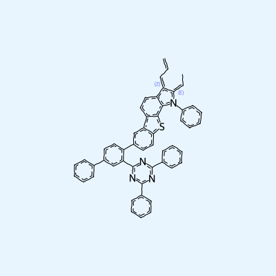 C=C/C=c1\c(=C/C)n(-c2ccccc2)c2c1ccc1c3cc(-c4ccc(-c5ccccc5)cc4-c4nc(-c5ccccc5)nc(-c5ccccc5)n4)ccc3sc12